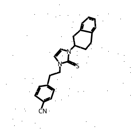 N#Cc1ccc(CCn2ccn(C3CCc4ccccc4C3)c2=S)cc1